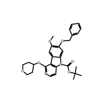 COc1cc2c3c(OC4CCOCC4)nccc3n(C(=O)OC(C)(C)C)c2cc1OCc1ccccc1